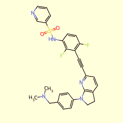 CN(C)Cc1ccc(N2CCc3ccc(C#Cc4c(F)ccc(NS(=O)(=O)c5cccnc5)c4F)nc32)cc1